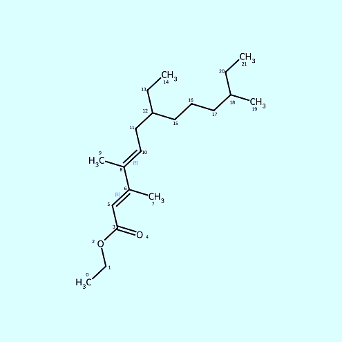 CCOC(=O)/C=C(C)/C(C)=C/CC(CC)CCCC(C)CC